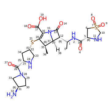 CC(NC(=O)[C@@H]1CS(=O)(=O)CN1)[C@H]1C(=O)N2C(C(=O)O)=C(S[C@@H]3CN[C@H](C(=O)N4CC[C@@H](N)C4)C3)[C@H](C)[C@H]12